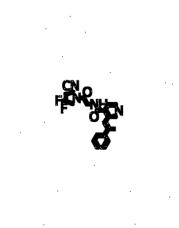 CC(=Cc1cnccc1C(=O)NCC(=O)N1CC(F)(F)CC1C#N)c1ccccc1